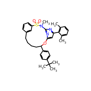 Cc1cccc(C)c1-c1cc2nc(n1)N(C)S(=O)(=O)c1cccc(c1)CCCCC(c1ccc(C(C)(C)C)cc1)O2